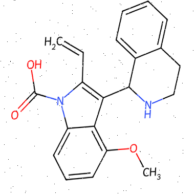 C=Cc1c(C2NCCc3ccccc32)c2c(OC)cccc2n1C(=O)O